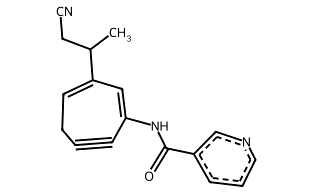 CC(CC#N)C1=CCC#CC(NC(=O)c2cccnc2)=C1